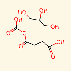 O=C(O)CCC(=O)OC(=O)O.OCC(O)CO